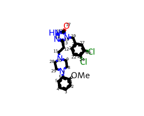 COc1ccccc1N1CCN(CCc2n[nH]c(=O)n2Cc2ccc(Cl)c(Cl)c2)CC1